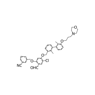 Cc1c(COc2cc(OCc3cccc(C#N)c3)c(C=O)cc2Cl)cccc1-c1cccc(OCCCN2CCOCC2)c1C